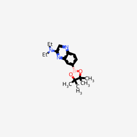 CCN(CC)c1cnc2ccc(B3OC(C)(C)C(C)(C)O3)cc2n1